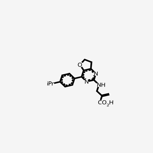 C=C(CNc1nc2c(c(-c3ccc(C(C)C)cc3)n1)OCC2)C(=O)O